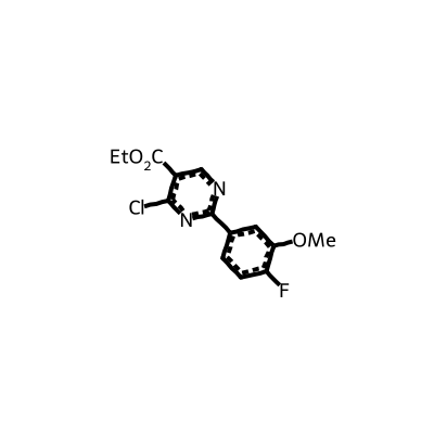 CCOC(=O)c1cnc(-c2ccc(F)c(OC)c2)nc1Cl